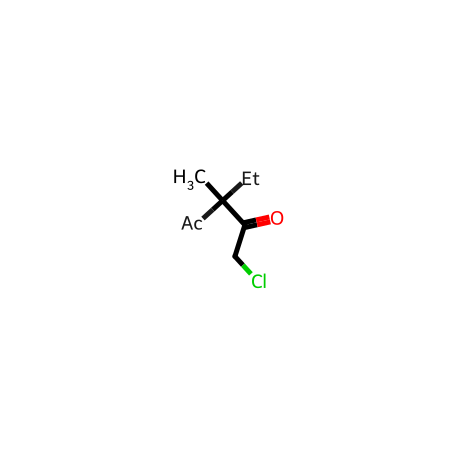 CCC(C)(C(C)=O)C(=O)CCl